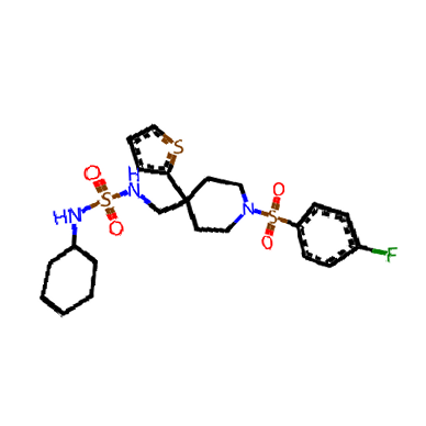 O=S(=O)(NCC1(c2cccs2)CCN(S(=O)(=O)c2ccc(F)cc2)CC1)NC1CCCCC1